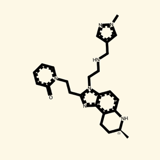 C[C@H]1CCc2c(ccc3c2nc(CCn2ccccc2=O)n3CCNCc2cnn(C)c2)N1